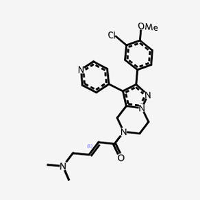 COc1ccc(-c2nn3c(c2-c2ccncc2)CN(C(=O)/C=C/CN(C)C)CC3)cc1Cl